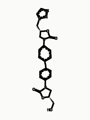 O=C1O[C@@H](Cn2ccnn2)CN1c1ccc(-c2ccc(N3C[C@H](CO)OC3=O)cc2)cc1